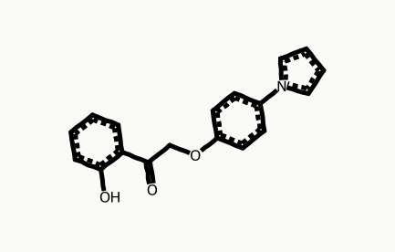 O=C(COc1ccc(-n2cccc2)cc1)c1ccccc1O